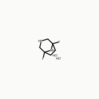 Cl.Cl.FC12CCC(F)(CNC1)N2